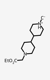 [CH2-][NH+]1CCC(C2CCN(CC(=O)OCC)CC2)CC1